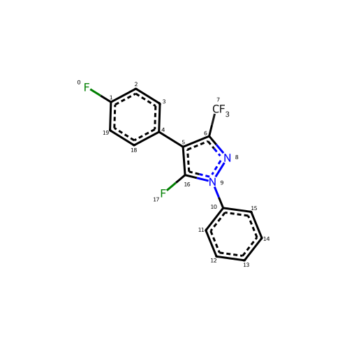 Fc1ccc(-c2c(C(F)(F)F)nn(-c3ccccc3)c2F)cc1